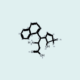 NC(CC(=O)O)C(c1cccc2ccccc12)C1C=CC(F)(F)C1O